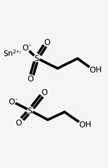 O=S(=O)([O-])CCO.O=S(=O)([O-])CCO.[Sn+2]